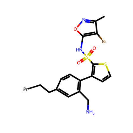 Cc1noc(NS(=O)(=O)c2sccc2-c2ccc(CCC(C)C)cc2CN)c1Br